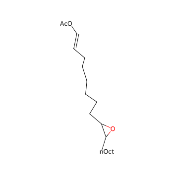 CCCCCCCCC1OC1CCCCCCC=COC(C)=O